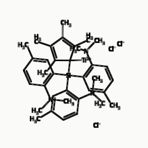 CC1=C(C)[C]([Ti+3])([Si](c2cc(C)ccc2N(C)C)(c2cc(C)ccc2N(C)C)c2cc(C)ccc2N(C)C)C(C)=C1C.[Cl-].[Cl-].[Cl-]